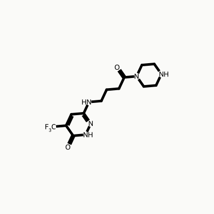 O=C(CCCNc1cc(C(F)(F)F)c(=O)[nH]n1)N1CCNCC1